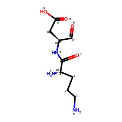 NCCC[C@H](N)C(=O)N[C@H](C=O)CC(=O)O